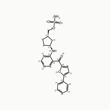 NS(=O)(=O)OC[C@@H]1CC[C@H](Nc2ncncc2C(=O)c2ccc(-c3ccccc3)o2)C1